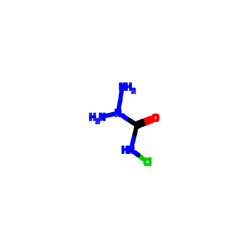 NN(N)C(=O)NCl